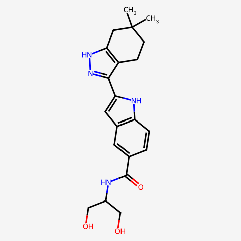 CC1(C)CCc2c(-c3cc4cc(C(=O)NC(CO)CO)ccc4[nH]3)n[nH]c2C1